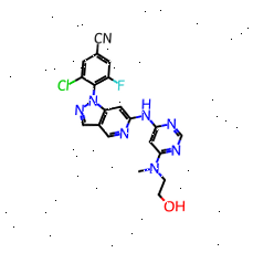 CN(CCO)c1cc(Nc2cc3c(cn2)cnn3-c2c(F)cc(C#N)cc2Cl)ncn1